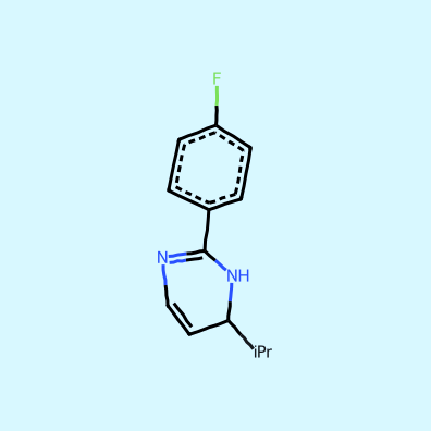 CC(C)C1C=CN=C(c2ccc(F)cc2)N1